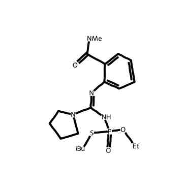 CCOP(=O)(NC(=Nc1ccccc1C(=O)NC)N1CCCC1)SC(C)CC